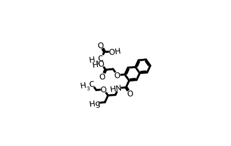 CC(=O)O.CCOC([CH2][Hg])CNC(=O)c1cc2ccccc2cc1OCC(=O)O